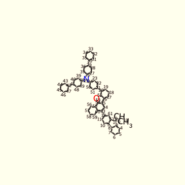 CC1(C)c2ccccc2-c2ccc(-c3cc4c5cccc(-c6ccc(N(c7ccc(-c8ccccc8)cc7)c7ccc(-c8ccccc8)cc7)cc6)c5oc4c4ccccc34)cc21